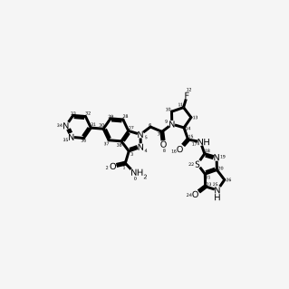 NC(=O)c1nn(CC(=O)N2CC(F)CC2C(=O)Nc2nc3c(s2)C(=O)NC3)c2ccc(-c3ccnnc3)cc12